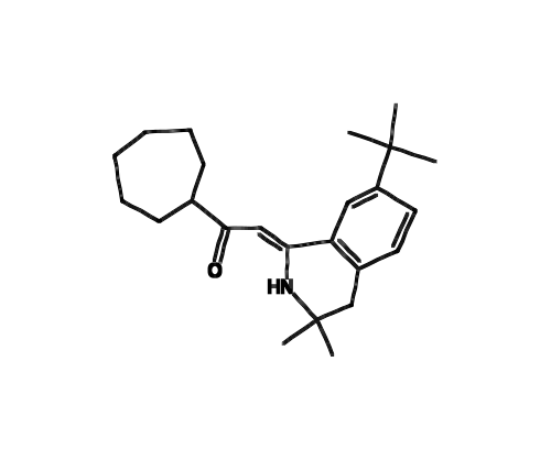 CC1(C)Cc2ccc(C(C)(C)C)cc2/C(=C/C(=O)C2CCCCCC2)N1